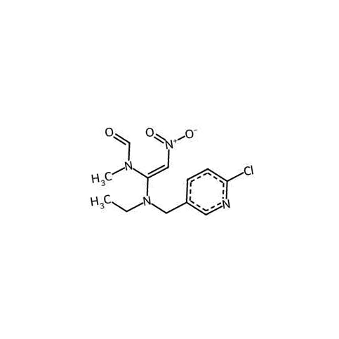 CCN(Cc1ccc(Cl)nc1)C(=C[N+](=O)[O-])N(C)C=O